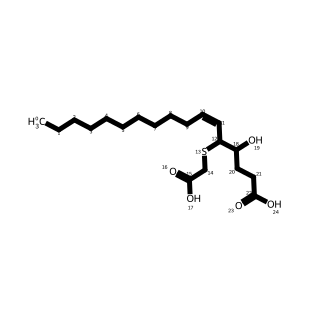 CCCCCCCCCC/C=C\C(SCC(=O)O)C(O)CCC(=O)O